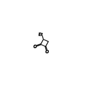 CCC1CC(=O)C1=O